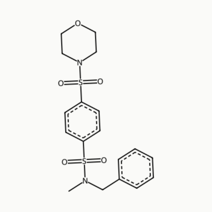 CN(Cc1ccccc1)S(=O)(=O)c1ccc(S(=O)(=O)N2CCOCC2)cc1